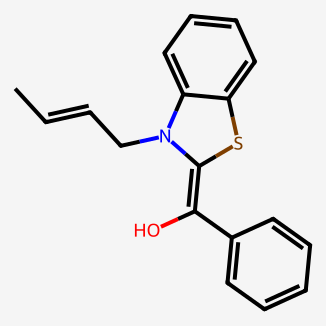 CC=CCN1/C(=C(\O)c2ccccc2)Sc2ccccc21